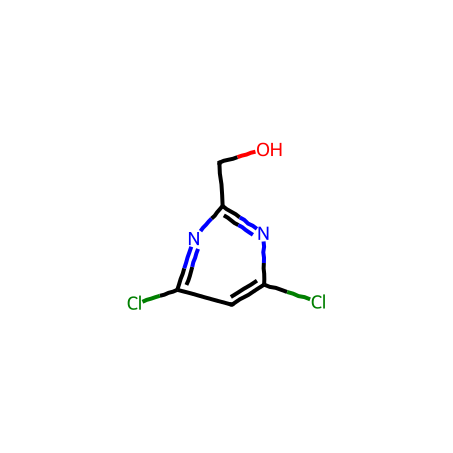 OCc1nc(Cl)cc(Cl)n1